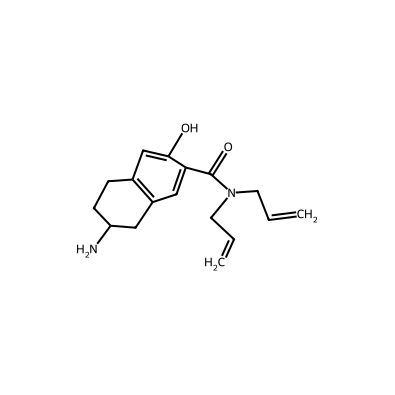 C=CCN(CC=C)C(=O)c1cc2c(cc1O)CCC(N)C2